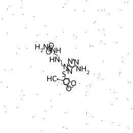 C#Cc1cc2c(cc1Sc1nc3c(N)ncnc3n1CCNCCNS(N)(=O)=O)OCO2